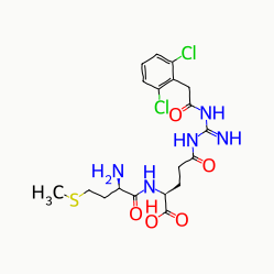 CSCC[C@@H](N)C(=O)N[C@@H](CCC(=O)NC(=N)NC(=O)Cc1c(Cl)cccc1Cl)C(=O)O